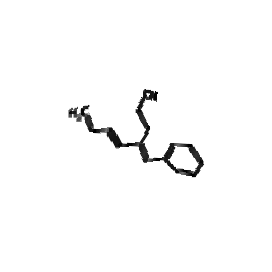 C=CC=CC(C=CC#N)=Cc1ccccc1